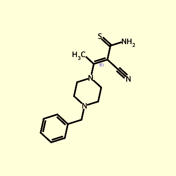 C/C(=C(/C#N)C(N)=S)N1CCN(Cc2ccccc2)CC1